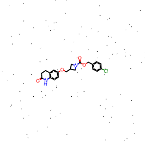 O=C1CCc2cc(OCC3CN(C(=O)OCc4ccc(Cl)cc4)C3)ccc2N1